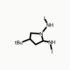 CC(C)(C)C1CC(NI)N(NI)C1